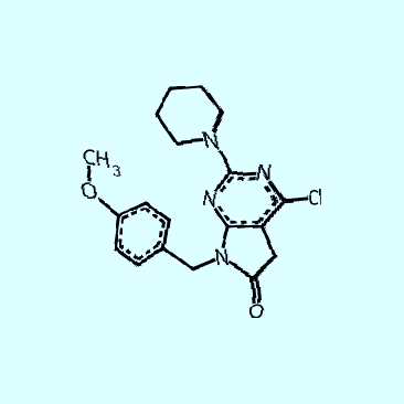 COc1ccc(CN2C(=O)Cc3c(Cl)nc(N4CCCCC4)nc32)cc1